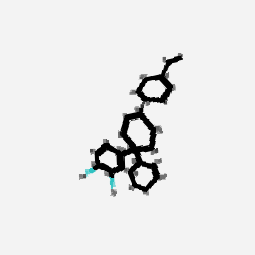 CC[C@H]1CC[C@H](C2CCC(c3ccc(F)c(F)c3)(C3CCCCC3)CC2)CC1